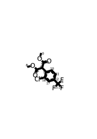 COC(=O)C(C(=O)OC)c1ccc(C(F)(F)F)cc1Cl